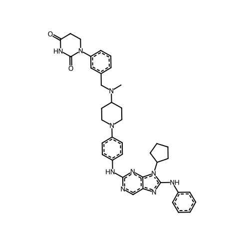 CN(Cc1cccc(N2CCC(=O)NC2=O)c1)C1CCN(c2ccc(Nc3ncc4nc(Nc5ccccc5)n(C5CCCC5)c4n3)cc2)CC1